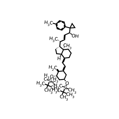 C=C1/C(=C\C=C2/CCC[C@]3(C)[C@@H]([C@H](C)/C=C/[C@H](O)C4(c5ccc(C)cc5)CC4)CC[C@@H]23)C[C@@H](O[Si](C)(C)C(C)(C)C)C[C@@H]1O[Si](C)(C)C(C)(C)C